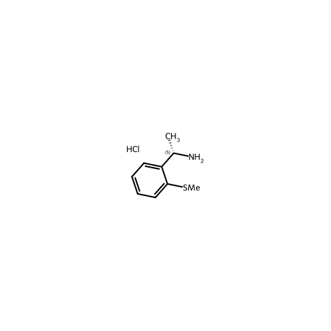 CSc1ccccc1[C@H](C)N.Cl